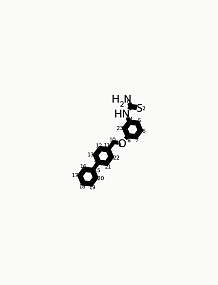 NC(=S)Nc1cccc(OCc2ccc(-c3ccccc3)cc2)c1